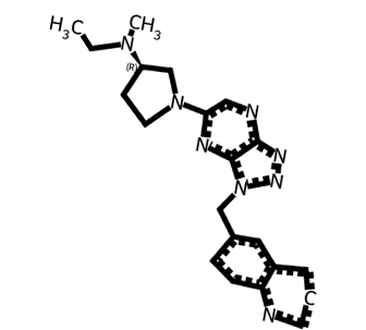 CCN(C)[C@@H]1CCN(c2cnc3nnn(Cc4ccc5ncccc5c4)c3n2)C1